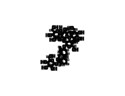 C=C1C[C@]23CC[C@H]4C(C)(C(=O)O[C@@H]5O[C@H](CO)[C@@H](O)[C@H](O)[C@H]5O)CCC[C@]4(C)[C@H]2CC[C@]1(O[C@@H]1O[C@H](CO)[C@@H](O)[C@H](O[C@@H]2O[C@H](CO)[C@@H](O)[C@H](O)[C@H]2O)[C@H]1O[C@@H]1O[C@H](CO)[C@@H](O)[C@@](O)([C@@H]2O[C@H](CO)[C@@H](O)[C@H](O)[C@H]2O)[C@H]1O)C3